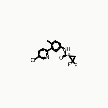 Cc1ccc(NC(=O)[C@@H]2CC2(F)F)cc1-c1ccc(Cl)cn1